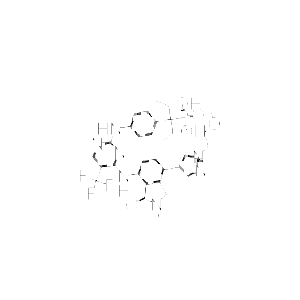 CCC(CC)(c1ccc(Nc2ncc(C(F)(F)F)c(Nc3ccc(-c4cnn(CCOC)c4)c4c3C(=O)N(C)C4)n2)cc1)P(=O)(O)O